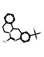 CC1=Nc2ccc(C(F)(F)F)cc2CC2c3ccccc3CCN12